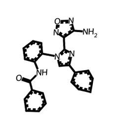 Nc1nonc1-c1nc(-c2ccccc2)cn1-c1ccccc1NC(=O)c1ccccc1